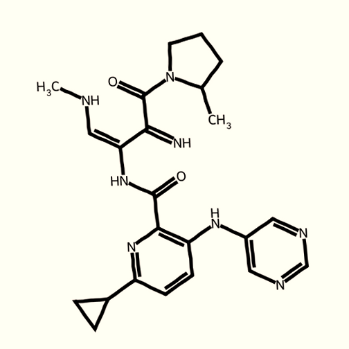 CN/C=C(/NC(=O)c1nc(C2CC2)ccc1Nc1cncnc1)C(=N)C(=O)N1CCCC1C